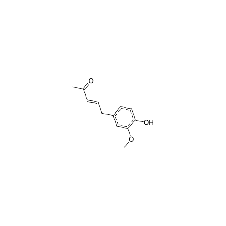 COc1cc(CC=CC(C)=O)ccc1O